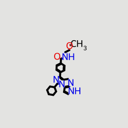 COCCNC(=O)c1ccc(-c2nc(C3CCCCC3)n3c2cnc2[nH]ccc23)cc1